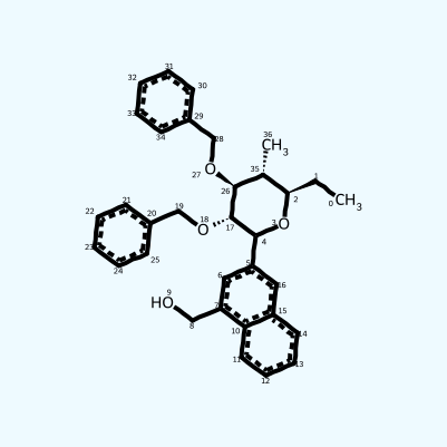 CC[C@H]1OC(c2cc(CO)c3ccccc3c2)[C@H](OCc2ccccc2)[C@@H](OCc2ccccc2)[C@@H]1C